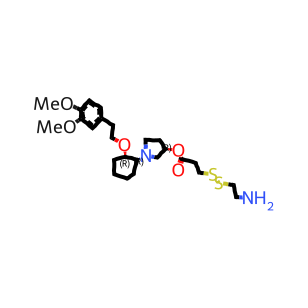 COc1ccc(CCO[C@@H]2CCCC[C@H]2N2CC[C@@H](OC(=O)CCSSCCN)C2)cc1OC